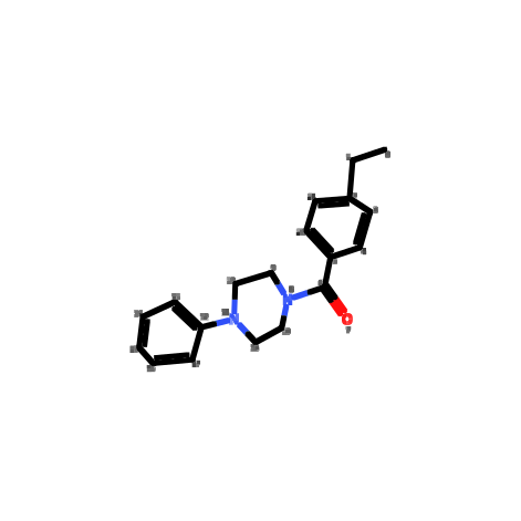 CCc1ccc(C(=O)N2CCN(c3cc[c]cc3)CC2)cc1